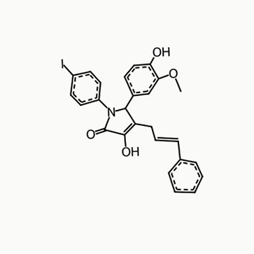 COc1cc(C2C(C/C=C/c3ccccc3)=C(O)C(=O)N2c2ccc(I)cc2)ccc1O